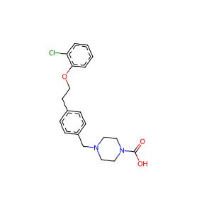 O=C(O)N1CCN(Cc2ccc(CCOc3ccccc3Cl)cc2)CC1